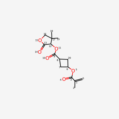 C=C(C)C(=O)OC1CC(C(=O)OC2C(=O)OCC2(C)C)C1